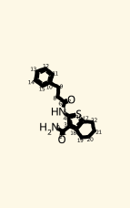 NC(=O)c1c(NC(=O)CCc2ccccc2)sc2c1CCCC2